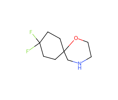 FC1(F)CCC2(CC1)CNCCO2